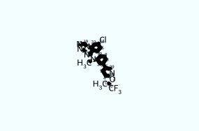 C[C@@H](Oc1ccc(-c2cccc(N(C)c3nc4nncn4c4cc(Cl)ccc34)c2)cn1)C(F)(F)F